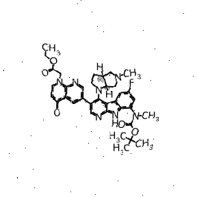 CCOC(=O)Cn1ccc(=O)c2cc(-c3cnc4[nH]c5c(N(C)C(=O)OC(C)(C)C)cc(F)cc5c4c3N3CC[C@@H]4CN(C)C[C@@H]43)cnc21